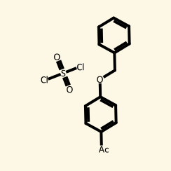 CC(=O)c1ccc(OCc2ccccc2)cc1.O=S(=O)(Cl)Cl